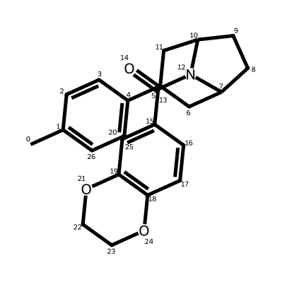 Cc1ccc(C2CC3CCC(C2)N3C(=O)c2ccc3c(c2)OCCO3)cc1